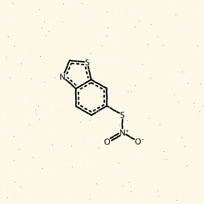 O=[N+]([O-])Sc1ccc2ncsc2c1